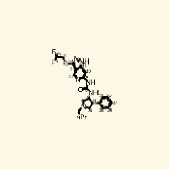 CC(C)CN1C[C@H](NC(=O)Nc2cc3[nH]nc(OCC(F)F)c3cn2)[C@@H](c2ccccc2)C1